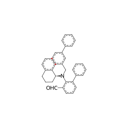 O=Cc1cccc(-c2ccccc2)c1N(Cc1cccc(-c2ccccc2)c1)[C@H]1CCCc2ccccc21